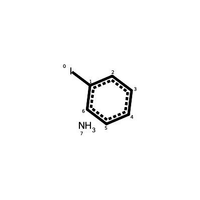 Ic1ccccc1.N